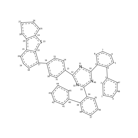 c1ccc(-c2ccccc2-c2nc(-c3ccc(-c4cccc5c4sc4ccccc45)cc3)nc(-c3ccccc3-c3ccccc3)n2)cc1